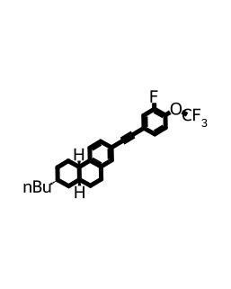 CCCC[C@@H]1CC[C@@H]2c3ccc(C#Cc4ccc(OC(F)(F)F)c(F)c4)cc3CC[C@@H]2C1